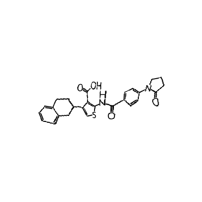 O=C(Nc1scc(C2CCc3ccccc3C2)c1C(=O)O)c1ccc(N2CCCC2=O)cc1